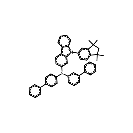 CC1(C)CC(C)(C)c2cc(-n3c4ccccc4c4ccc(N(c5ccc(-c6ccccc6)cc5)c5cccc(-c6ccccc6)c5)cc43)ccc21